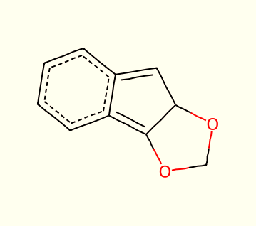 C1=c2ccccc2=C2OCOC12